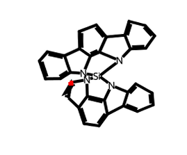 c1ccc2c(c1)c1ccc3c4ccccc4n4c3c1n2[Si]41n2c3ccccc3c3ccc4c5ccccc5n1c4c32